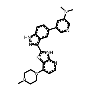 CN1CCN(c2ccnc3[nH]c(-c4n[nH]c5ccc(-c6cncc(N(C)C)c6)cc45)nc23)CC1